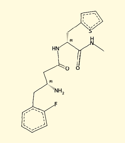 CNC(=O)[C@@H](Cc1cccs1)NC(=O)C[C@H](N)Cc1ccccc1F